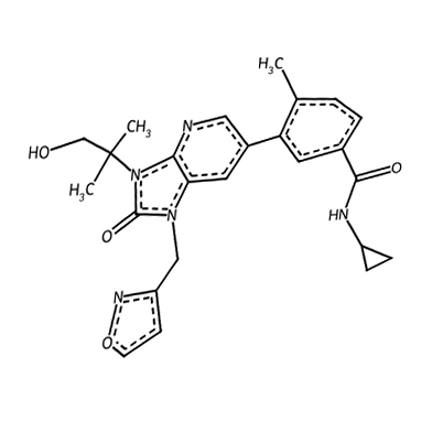 Cc1ccc(C(=O)NC2CC2)cc1-c1cnc2c(c1)n(Cc1ccon1)c(=O)n2C(C)(C)CO